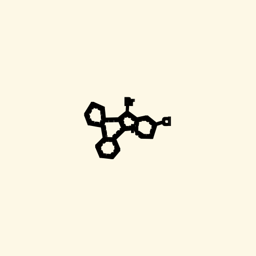 Clc1ccn2c(c1)c(Br)c1c3ccccc3c3ccccc3c12